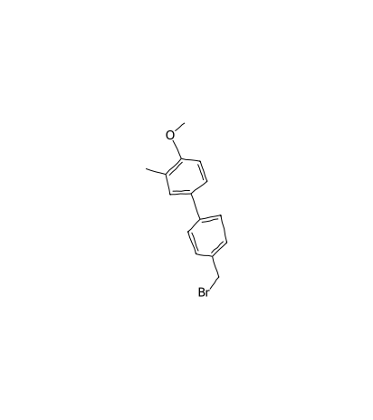 COc1ccc(-c2ccc(CBr)cc2)cc1C